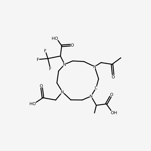 CC(=O)CN1CCN(C(C)C(=O)O)CCN(CC(=O)O)CCN(C(C(=O)O)C(F)(F)F)CC1